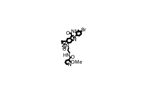 CNC(=O)c1c2cc(C3CC3)c(N(CCCNC(=O)c3cccnc3OC)S(C)(=O)=O)cc2nn1-c1ccc(Br)cc1